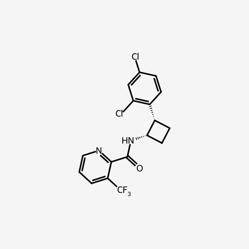 O=C(N[C@H]1CC[C@H]1c1ccc(Cl)cc1Cl)c1ncccc1C(F)(F)F